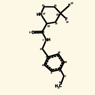 CCc1ccc(CNC(=O)C2CC(F)(F)CCN2)cc1